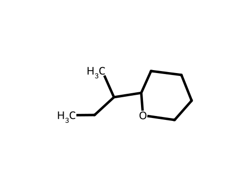 CCC(C)C1CCCCO1